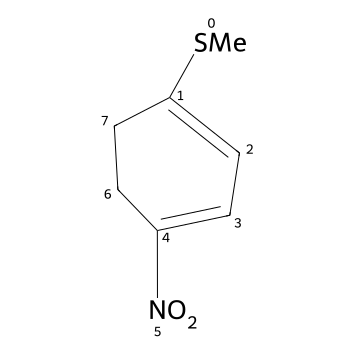 CSC1=CC=C([N+](=O)[O-])CC1